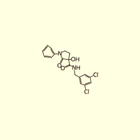 O=C(NCc1cc(Cl)cc(Cl)c1)[C@@]1(O)CCN(c2ccccc2)C1=O